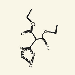 CCOC(=O)C(C(=O)OCC)c1nc[nH]n1